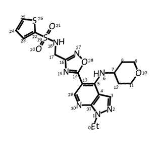 CCn1ncc2c(NC3CCOCC3)c(-c3nc(CNS(=O)(=O)c4cccs4)no3)cnc21